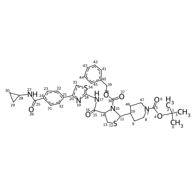 CC(C)(C)OC(=O)N1CCC(C2SCC(C(=O)Nc3nc(-c4ccc(C(=O)NC5CC5)cc4)cs3)N2C(=O)OCc2ccccc2)CC1